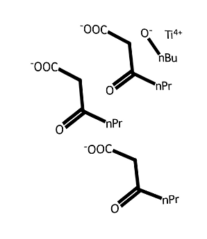 CCCC(=O)CC(=O)[O-].CCCC(=O)CC(=O)[O-].CCCC(=O)CC(=O)[O-].CCCC[O-].[Ti+4]